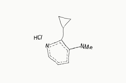 CNc1cccnc1C1CC1.Cl